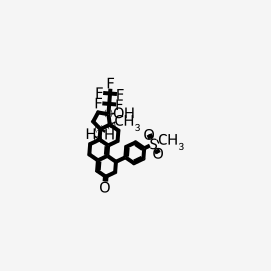 C[C@]12CCC3=C4C(=CC(=O)CC4c4ccc(S(C)(=O)=O)cc4)CC[C@H]3[C@@H]1CC[C@@]2(O)C(F)(F)C(F)(F)F